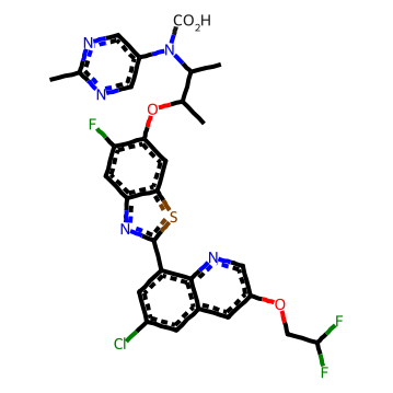 Cc1ncc(N(C(=O)O)C(C)C(C)Oc2cc3sc(-c4cc(Cl)cc5cc(OCC(F)F)cnc45)nc3cc2F)cn1